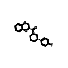 O=C([C@H]1COc2ccccc2O1)N1CCC[C@@H](c2ccc(F)cc2)C1